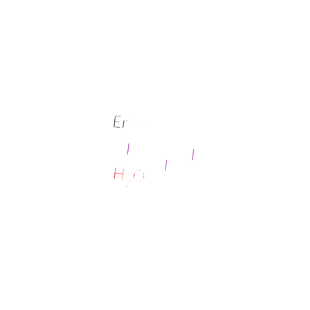 O.[Er+3].[I-].[I-].[I-]